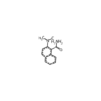 CN(C)c1ccc2ccccc2c1C(N)=O